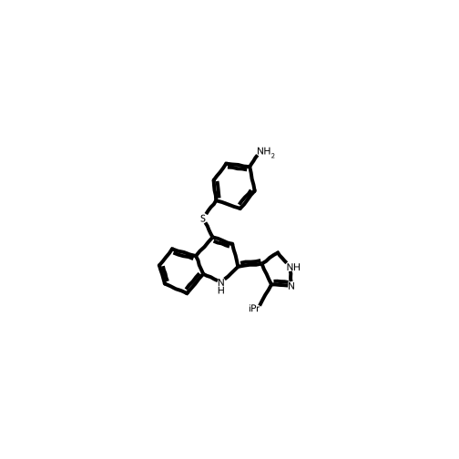 CC(C)C1=NNCC1=C1C=C(Sc2ccc(N)cc2)c2ccccc2N1